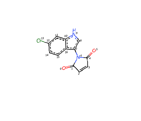 O=C1C=CC(=O)N1c1c[nH]c2cc(Cl)ccc12